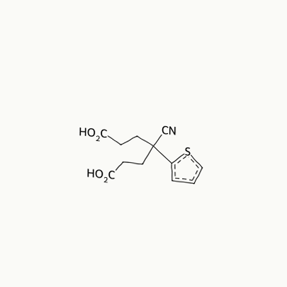 N#CC(CCC(=O)O)(CCC(=O)O)c1cccs1